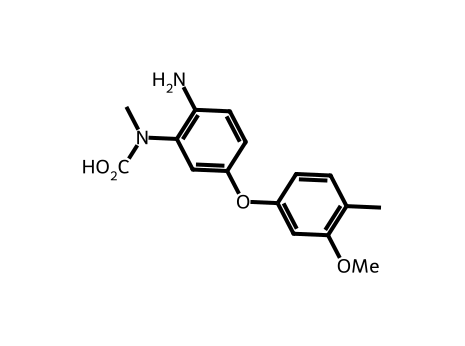 COc1cc(Oc2ccc(N)c(N(C)C(=O)O)c2)ccc1C